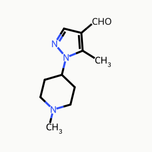 Cc1c(C=O)cnn1C1CCN(C)CC1